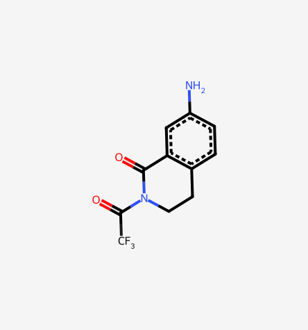 Nc1ccc2c(c1)C(=O)N(C(=O)C(F)(F)F)CC2